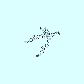 CCCC1CCC(C(=O)Oc2ccc(C=CC(=O)CC(Cc3ccc(N)cc3)(Cc3ccc(N)cc3)C(O)(O)C(=O)C=Cc3ccc(OC(=O)C4CCC(CCC)CC4)cc3)cc2)CC1